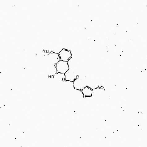 O=C(Cn1cc([N+](=O)[O-])cn1)NC1Cc2cccc(C(=O)O)c2OB1O